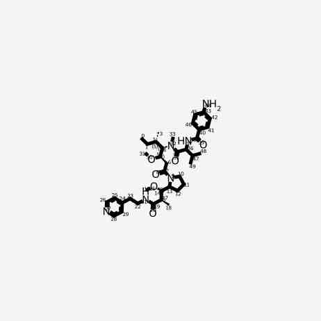 CC[C@H](C)[C@@H]([C@@H](CC(=O)N1CCCC1[C@H](OC)[C@@H](C)C(=O)NCCc1ccncc1)OC)N(C)C(=O)C(NC(=O)c1ccc(N)cc1)C(C)C